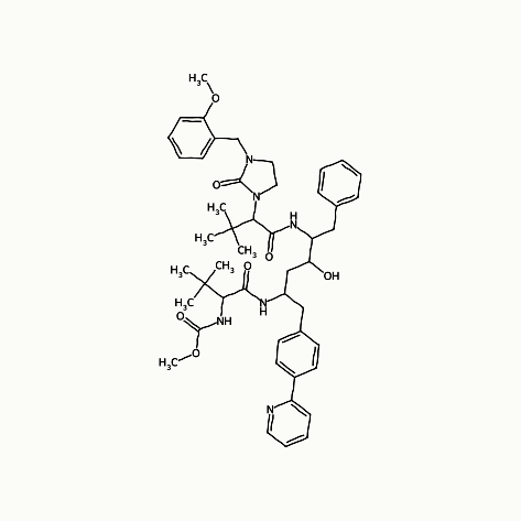 COC(=O)NC(C(=O)NC(Cc1ccc(-c2ccccn2)cc1)CC(O)C(Cc1ccccc1)NC(=O)C(N1CCN(Cc2ccccc2OC)C1=O)C(C)(C)C)C(C)(C)C